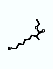 CCOC(=O)C(C)CCCCCCBr